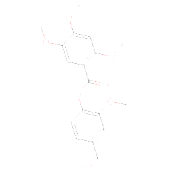 COc1cc(OC)c(C(=O)Oc2ccc(C=O)cc2OC)cc1OC